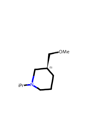 COC[C@H]1CCCN(C(C)C)C1